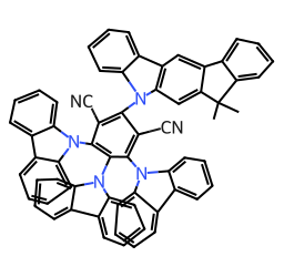 CC1(C)c2ccccc2-c2cc3c4ccccc4n(-c4c(C#N)c(-n5c6ccccc6c6ccccc65)c(-n5c6ccccc6c6ccccc65)c(-n5c6ccccc6c6ccccc65)c4C#N)c3cc21